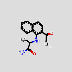 CC(=O)c1ccc2ccccc2c1NC(C)C(N)=O